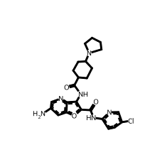 Nc1cnc2c(NC(=O)C3CCC(N4CCCC4)CC3)c(C(=O)Nc3ccc(Cl)cn3)oc2c1